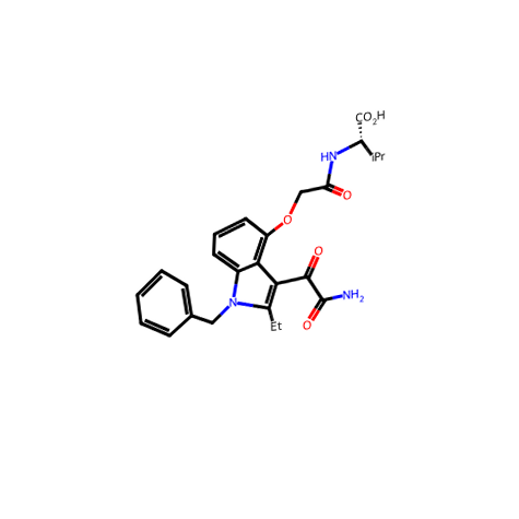 CCc1c(C(=O)C(N)=O)c2c(OCC(=O)N[C@H](C(=O)O)C(C)C)cccc2n1Cc1ccccc1